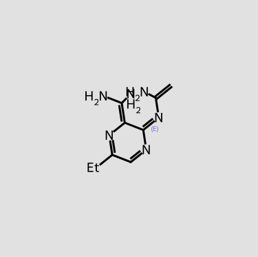 C=C(N)/N=C1/N=CC(CC)=NC1=C(N)N